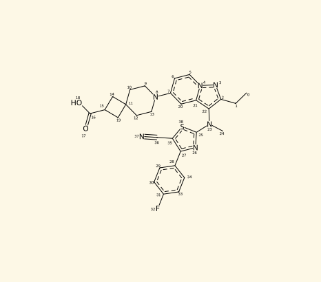 CCc1nn2ccc(N3CCC4(CC3)CC(C(=O)O)C4)cc2c1N(C)c1nc(-c2ccc(F)cc2)c(C#N)s1